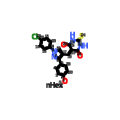 CCCCCCOc1ccc(-c2nn(-c3ccc(Cl)cc3)cc2C=C2C(=O)NC(=S)NC2=O)cc1